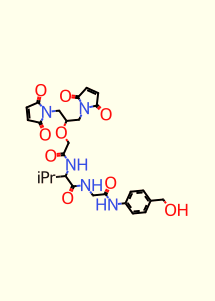 CC(C)C(NC(=O)COC(CN1C(=O)C=CC1=O)CN1C(=O)C=CC1=O)C(=O)NCC(=O)Nc1ccc(CO)cc1